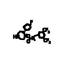 CN(Cc1cc(C(F)(F)F)cc(C(F)(F)F)c1)C(=O)ON1CCNCC[C@@H]1c1ccc(F)cc1